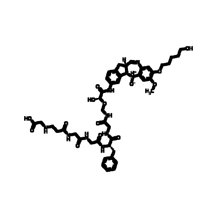 COc1cc2c(cc1OCCCCCO)N=C[C@@H]1Cc3ccc(NC(=O)[C@@H](O)OCNC(=O)CNC(=O)[C@H](Cc4ccccc4)NC(=O)CNC(=O)CNC(=O)CCNCC(=O)O)cc3N1[NH+]2[O-]